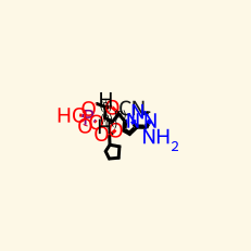 N#C[C@@]1(c2ccc3c(N)ncnn23)O[C@@H]2COP(=O)(O)O[C@H]2[C@H]1OC(=O)C1CCCC1